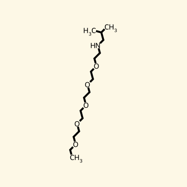 CCOCCOCCOCCOCCOCCNCC(C)C